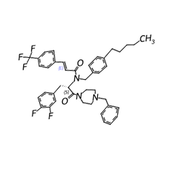 CCCCCc1ccc(CN(C(=O)/C=C/c2ccc(C(F)(F)F)cc2)[C@@H](Cc2ccc(F)c(F)c2)C(=O)N2CCN(Cc3ccccc3)CC2)cc1